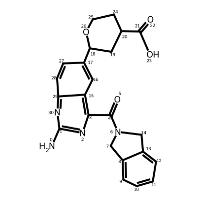 Nc1nc(C(=O)N2Cc3ccccc3C2)c2cc(C3CC(C(=O)O)CCO3)ccc2n1